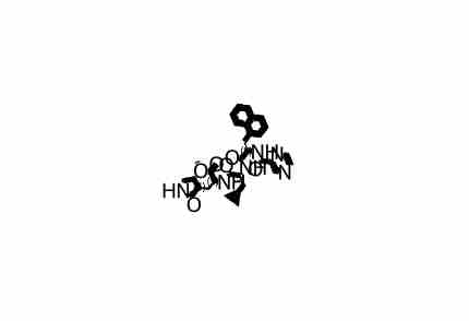 COC(=O)[C@H](C[C@@H]1CCNC1=O)NC(=O)[C@H](CC1CC1)NC(=O)[C@H](Cc1cccc2ccccc12)NC(=O)c1cnccn1